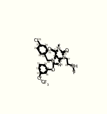 Cn1c(=O)c2c(nc(Oc3cccc(OC(F)(F)F)c3)n2Cc2ccc(Cl)cc2)n(CCBF)c1=O